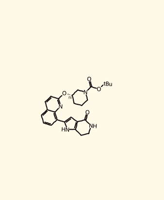 CC(C)(C)OC(=O)N1CCC[C@H](Oc2ccc3cccc(-c4cc5c([nH]4)CCNC5=O)c3n2)C1